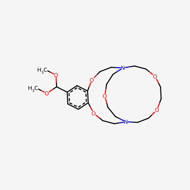 COC(OC)c1ccc2c(c1)OCCN1CCOCCOCCN(CCOCC1)CCO2